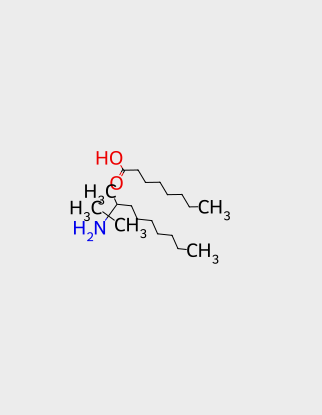 CCCCCCCC(=O)O.CCCCCCCC(C)C(C)(C)N